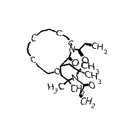 C=CC(=O)N1CCCCCCCCCCCOC2(CC(C)(C)N(C(=O)C=C)C(C)(C)C2)C1=O